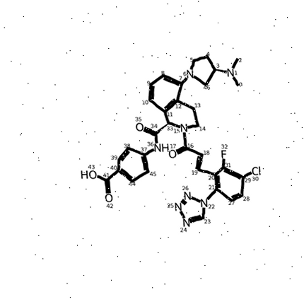 CN(C)[C@@H]1CCN(c2cccc3c2CCN(C(=O)C=Cc2c(-n4cnnn4)ccc(Cl)c2F)[C@H]3C(=O)Nc2ccc(C(=O)O)cc2)C1